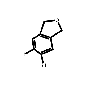 Clc1cc2c(cc1I)COC2